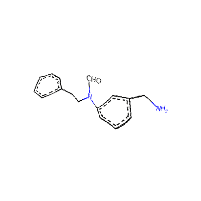 NCc1cccc(N([C]=O)Cc2ccccc2)c1